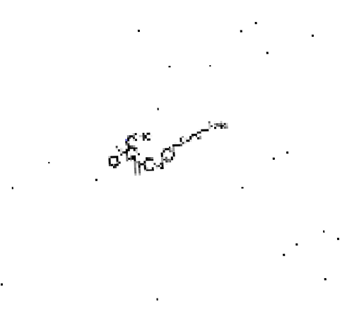 CNCCOCCOCCN1CCN(SN2CCC(Nc3ncc(/C=C\C=O)c(N(C)C4CCCC4)n3)CC2)CC1